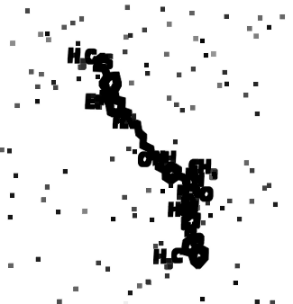 CCn1c2ccc(CNCCCCCC(=O)NCc3ccc(-c4c5ncn(CC6(O)CCN(C(=O)C[C@@H](C)c7ccccc7)CC6)c(=O)c5nn4C)cc3)cc2c2ccc(-c3cc(C)cs3)cc21